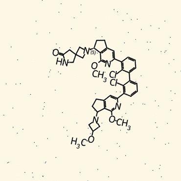 COc1nc(-c2cccc(-c3cccc(-c4cc5c(c(OC)n4)[C@@H](N4CC6(CNC(=O)C6)C4)CC5)c3Cl)c2Cl)cc2c1C(N1CC(OC)C1)CC2